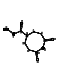 CC(C)(C)OC(=O)N1CCC(=O)OC(=O)CC1